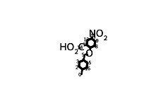 Cc1ccc(COc2ccc([N+](=O)[O-])cc2C(=O)O)cc1